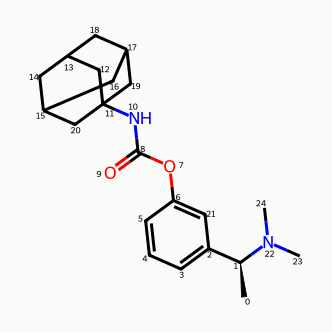 C[C@@H](c1cccc(OC(=O)NC23CC4CC(CC(C4)C2)C3)c1)N(C)C